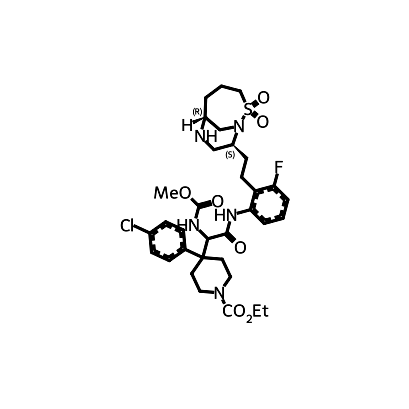 CCOC(=O)N1CCC(c2ccc(Cl)cc2)(C(NC(=O)OC)C(=O)Nc2cccc(F)c2CC[C@H]2CN[C@@H]3CCCS(=O)(=O)N2C3)CC1